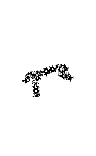 CC(C)[C@H](NC(=O)OC(C)(C)C)C(=O)N1C[C@H](OC(=O)N2Cc3cc4c(cc3C2)OCO4)CC1c1ncc(-c2ccc(-c3ccc(-c4c[nH]c([C@@H]5CCCN5C(=O)[C@@H](NC(=O)OC(C)(C)C)C(C)C)n4)cc3)cc2)[nH]1